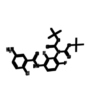 CC(C)(C)OC(=O)N(C(=O)OC(C)(C)C)c1c(F)ccc(NC(=O)c2cc(N)ccc2Cl)c1F